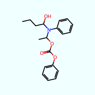 CCCC(O)N(c1ccccc1)C(C)OC(=O)Oc1ccccc1